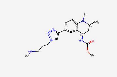 CC(=O)N1c2ccc(-c3cn(CCCNC(C)C)nn3)cc2[C@H](NC(=O)OC(C)C)C[C@@H]1C